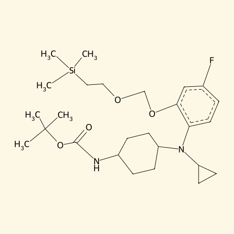 CC(C)(C)OC(=O)NC1CCC(N(c2ccc(F)cc2OCOCC[Si](C)(C)C)C2CC2)CC1